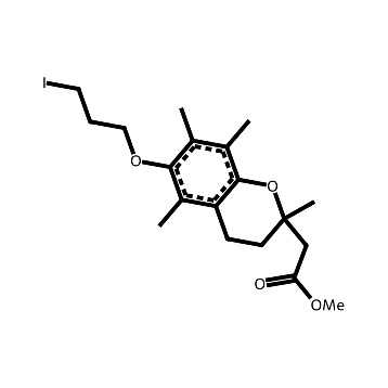 COC(=O)CC1(C)CCc2c(C)c(OCCCI)c(C)c(C)c2O1